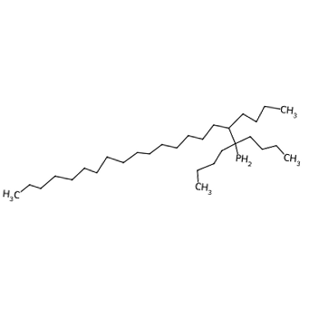 CCCCCCCCCCCCCCCCC(CCCC)C(P)(CCCC)CCCC